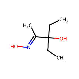 CCC(O)(CC)C(C)=NO